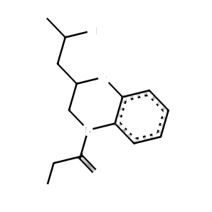 CC(Cl)CC1CN(C(=O)CCl)c2ccccc2O1